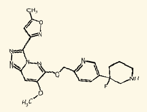 COc1cc2nnc(-c3cc(C)on3)n2nc1OCc1ccc(C2(F)CCCNC2)cn1